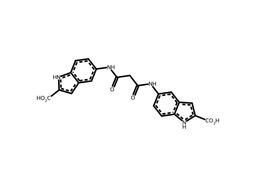 O=C(CC(=O)Nc1ccc2[nH]c(C(=O)O)cc2c1)Nc1ccc2[nH]c(C(=O)O)cc2c1